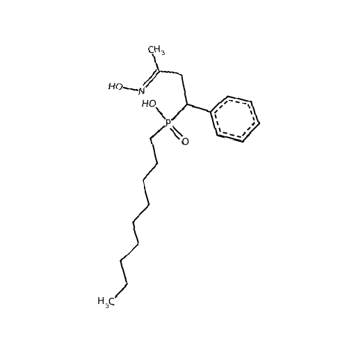 CCCCCCCCCP(=O)(O)C(CC(C)=NO)c1ccccc1